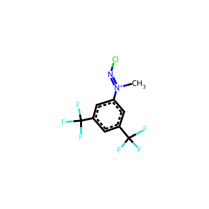 C[N+](=NCl)c1cc(C(F)(F)F)cc(C(F)(F)F)c1